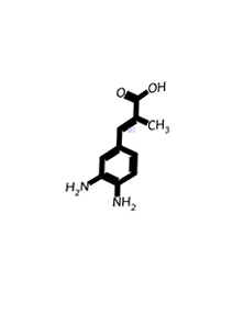 C/C(=C\c1ccc(N)c(N)c1)C(=O)O